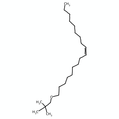 CCCCCCCC/C=C\CCCCCCCCOCC(C)(C)C